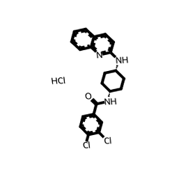 Cl.O=C(N[C@H]1CC[C@@H](Nc2ccc3ccccc3n2)CC1)c1ccc(Cl)c(Cl)c1